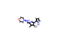 CCC1=C(C)/C(=C/NN2CCOCC2)N=C1c1ccc[nH]1